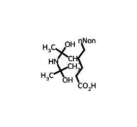 CC(C)(O)NC(C)(C)O.CCCCCCCCCCCCCC(=O)O